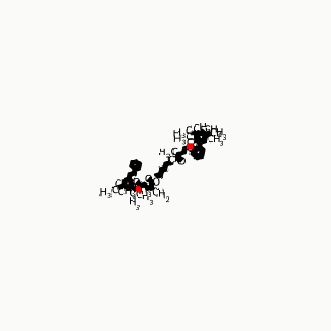 C=C(CCC(=O)Oc1c(CCc2ccccc2)cc(C(C)(C)C)cc1C(C)(C)C)C(=O)OCCCCCCOC(=O)C(=C)CCC(=O)Oc1c(-c2ccccc2)cc(C(C)(C)C)cc1C(C)(C)C